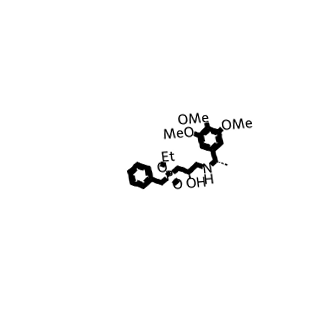 CCOP(=O)(Cc1ccccc1)C[C@@H](O)CN[C@@H](C)c1cc(OC)c(OC)c(OC)c1